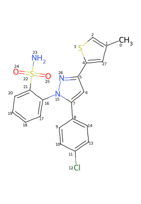 Cc1csc(-c2cc(-c3ccc(Cl)cc3)n(-c3ccccc3S(N)(=O)=O)n2)c1